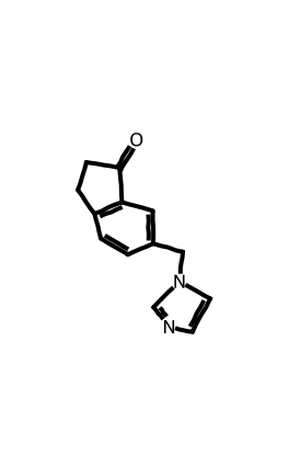 O=C1CCc2ccc(Cn3ccnc3)cc21